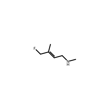 CNC/C=C(\C)CF